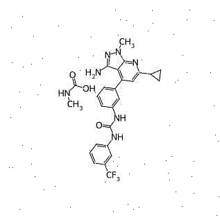 CNC(=O)O.Cn1nc(N)c2c(-c3cccc(NC(=O)Nc4cccc(C(F)(F)F)c4)c3)cc(C3CC3)nc21